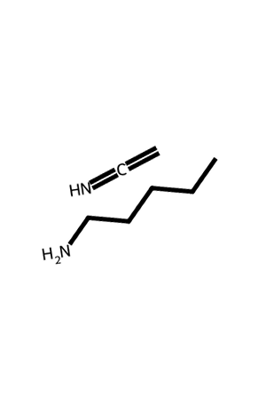 C=C=N.CCCCCN